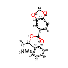 CN[C@H](C)[C@H](OC(=O)c1ccc2c(c1)OCO2)c1ccccc1